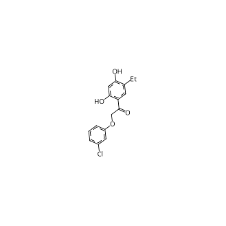 CCc1cc(C(=O)COc2cccc(Cl)c2)c(O)cc1O